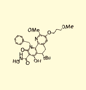 COCCCOc1cc2c(nc1OC)-c1c(c(O)c(C(=O)NO)c(=O)n1Cc1ccccc1)C(C(C)(C)C)C2